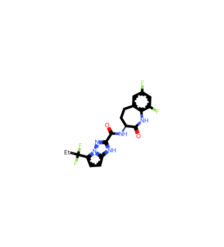 CCC(F)(F)c1ccc2[nH]c(C(=O)N[C@H]3CCc4cc(F)cc(F)c4NC3=O)nn12